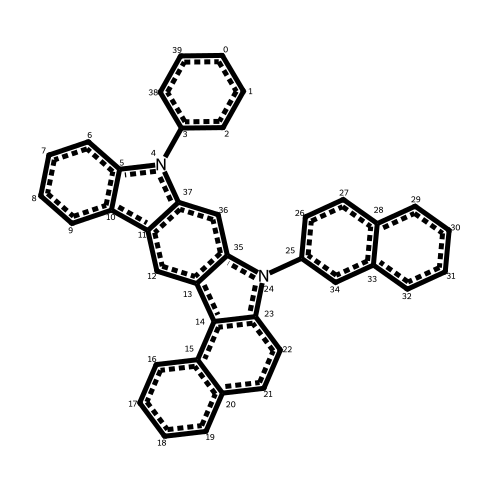 c1ccc(-n2c3ccccc3c3cc4c5c6ccccc6ccc5n(-c5ccc6ccccc6c5)c4cc32)cc1